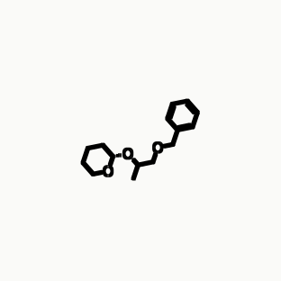 CC(COCc1ccccc1)O[C@H]1CCCCO1